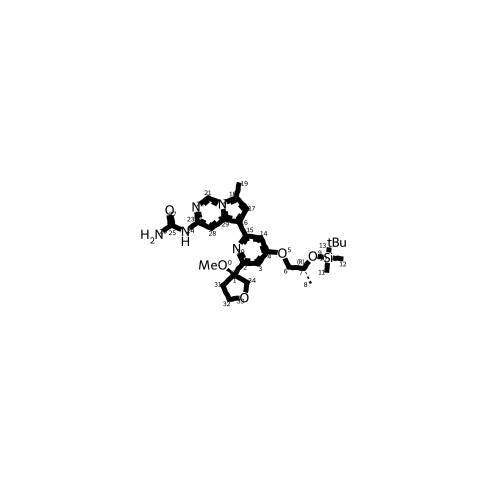 CO[C@]1(c2cc(OC[C@@H](C)O[Si](C)(C)C(C)(C)C)cc(-c3cc(C)n4cnc(NC(N)=O)cc34)n2)CCOC1